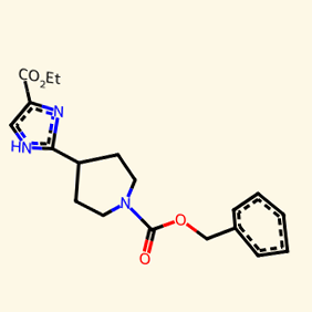 CCOC(=O)c1c[nH]c(C2CCN(C(=O)OCc3ccccc3)CC2)n1